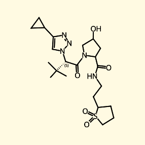 CC(C)(C)[C@@H](C(=O)N1CC(O)CC1C(=O)NCCC1CCCS1(=O)=O)n1cc(C2CC2)nn1